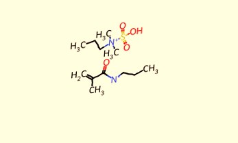 C=C(C)C(=O)[N-]CCC.CCC[N+](C)(C)S(=O)(=O)O